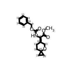 COC(=O)/C(NC(=O)OCc1ccccc1)=C1/CCC2(CC2)OC1